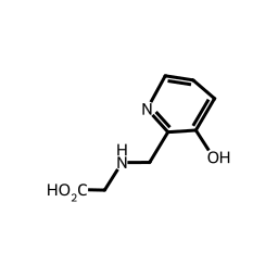 O=C(O)CNCc1ncccc1O